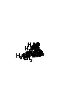 COc1cc(N)c(CC2CN(CC3CCN(C(=O)c4ccc(N(C)C)cc4)CC3)CCO2)cc1C(N)=O